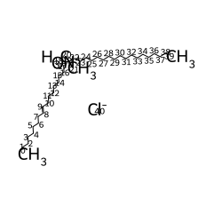 CCCCCCCCC=CCCCCCCCC(=O)[N+](C)(C)CCCCCCCCCCCCCCCCCC.[Cl-]